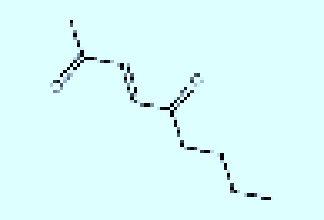 CCCCC(=O)C=CC(C)=O